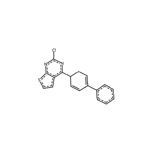 Clc1nc(C2C=CC(c3ccccc3)=CC2)c2ccsc2n1